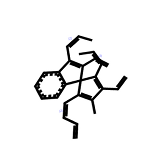 C=C/C=C\C1=C(C)C(C=C)=C(/C=C\C)C12C(C=C)=C(/C=C\C)c1ccccc12